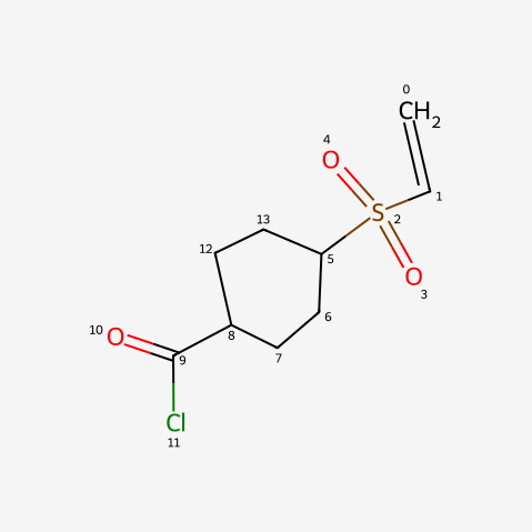 C=CS(=O)(=O)C1CCC(C(=O)Cl)CC1